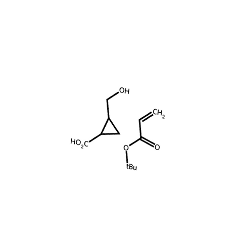 C=CC(=O)OC(C)(C)C.O=C(O)C1CC1CO